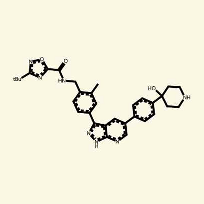 Cc1cc(-c2n[nH]c3ncc(-c4ccc(C5(O)CCNCC5)cc4)cc23)ccc1CNC(=O)c1nc(C(C)(C)C)no1